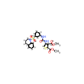 COC(=O)c1scc(NC(=O)Nc2cccc(S(=O)(=O)N3CCCc4ccccc43)c2)c1C(=O)OC